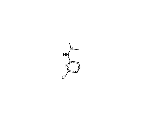 CN(C)Nc1cccc(Cl)n1